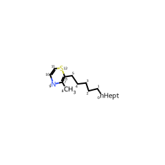 CCCCCCCCCCCCC1=C(C)[N]C=CS1